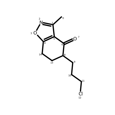 Cc1noc2c1C(=O)C(CCCCl)CC2